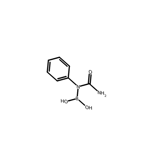 NC(=O)N(B(O)O)c1ccccc1